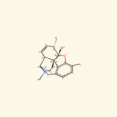 Cc1ccc2c3c1O[C@H]1[C@@H](C)C=CC4C(C2)N(C)CC[C@@]341